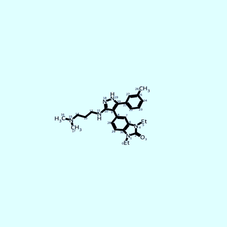 CCn1c(=O)n(CC)c2cc(-c3c(NCCCN(C)C)n[nH]c3-c3cccc(C)c3)ccc21